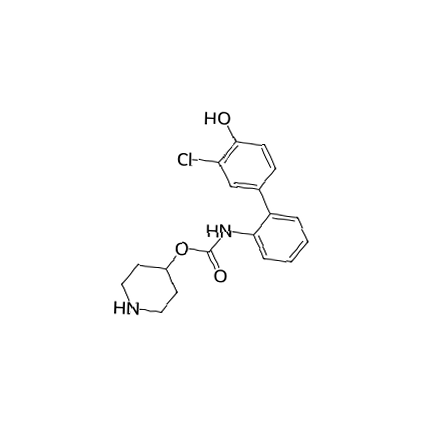 O=C(Nc1ccccc1-c1ccc(O)c(Cl)c1)OC1CCNCC1